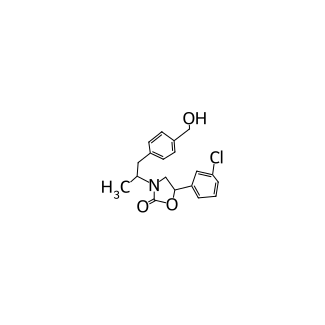 CC(Cc1ccc(CO)cc1)N1CC(c2cccc(Cl)c2)OC1=O